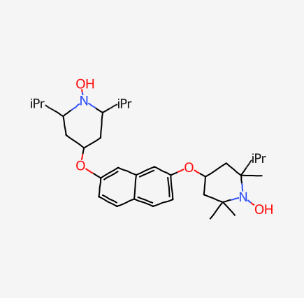 CC(C)C1CC(Oc2ccc3ccc(OC4CC(C)(C)N(O)C(C)(C(C)C)C4)cc3c2)CC(C(C)C)N1O